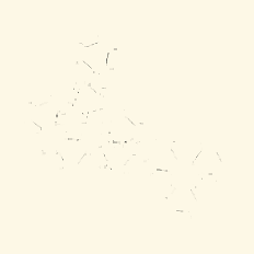 C1=c2c(c3ccccc3c3ccccc23)=CC(c2ccc(-c3ccc4oc5cccc(-c6nc(-c7ccccc7)nc(-c7ccccc7)n6)c5c4c3)nc2)C1